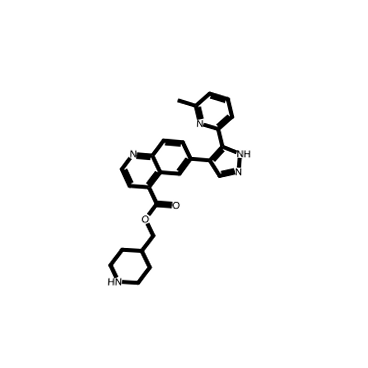 Cc1cccc(-c2[nH]ncc2-c2ccc3nccc(C(=O)OCC4CCNCC4)c3c2)n1